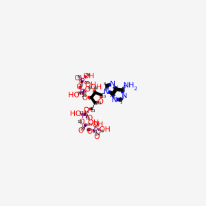 Nc1ncnc2c1ncn2[C@@H]1O[C@H](COP(=O)(O)OP(=O)(O)OP(=O)(O)O)C(OP(=O)(O)OP(=O)(O)O)C1O